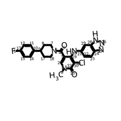 Cn1cc(C(=O)N2CCC(c3ccc(F)cc3)CC2)c(Nc2ccc3nn[nH]c3c2)c(Cl)c1=O